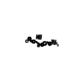 Cl.Cl.Cl.N=C(N)c1cccc(CN2CCc3ccc(C(=O)CCCC4CCN(Cc5ccccc5Cl)CC4)cc3CC2)c1